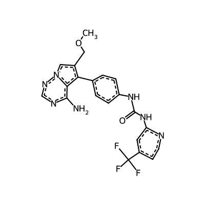 COCc1cn2ncnc(N)c2c1-c1ccc(NC(=O)Nc2cc(C(F)(F)F)ccn2)cc1